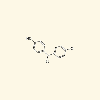 CC[C](c1ccc(O)cc1)c1ccc(Cl)cc1